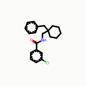 O=C(NCC1(Cc2ccccc2)CCCCC1)c1cccc(Cl)c1